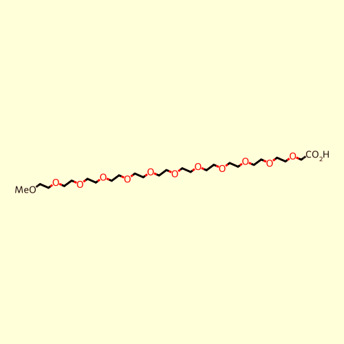 COCCOCCOCCOCCOCCOCCOCCOCCOCCOCCOCCOCC(=O)O